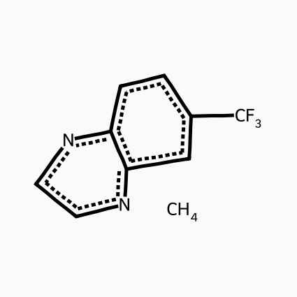 C.FC(F)(F)c1ccc2nccnc2c1